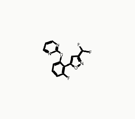 Fc1cccc(Oc2ncccn2)c1-c1cc(C(F)F)no1